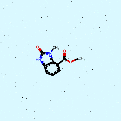 COC(=O)c1cccc2[nH]c(=O)n(C)c12